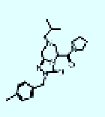 Cc1ccc(Cn2nc3n(c2=O)C(C(=O)N2CCCC2)CN(CC(C)C)C3)cc1